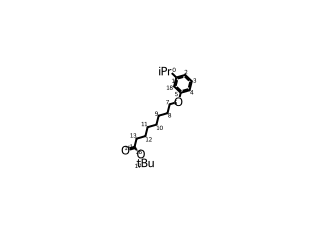 CC(C)c1cccc(OCCCCCCCC(=O)OC(C)(C)C)c1